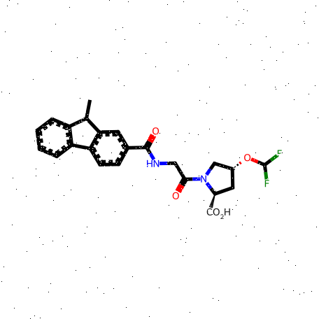 CC1c2ccccc2-c2ccc(C(=O)NCC(=O)N3C[C@H](OC(F)F)C[C@H]3C(=O)O)cc21